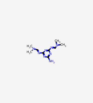 CN(C)C=Nc1nc(N)nc(N=CN(C)C)n1